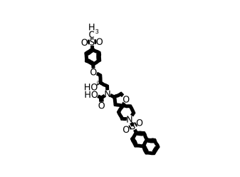 CS(=O)(=O)c1ccc(OC[C@@H](O)CN(C(=O)O)C2COC3(CCN(S(=O)(=O)c4ccc5ccccc5c4)CC3)C2)cc1